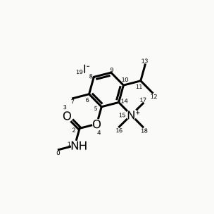 CNC(=O)Oc1c(C)ccc(C(C)C)c1[N+](C)(C)C.[I-]